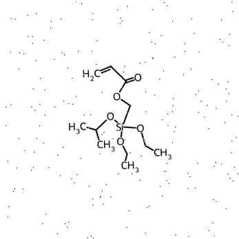 C=CC(=O)OC[Si](OCC)(OCC)OC(C)C